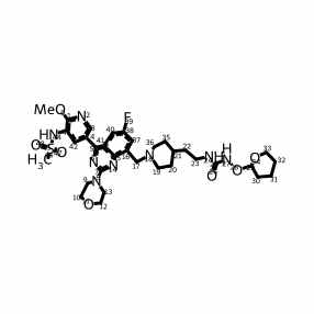 COc1ncc(-c2nc(N3CCOCC3)nc3c(CN4CCC(CCNC(=O)NOC5CCCCO5)CC4)cc(F)cc23)cc1NS(C)(=O)=O